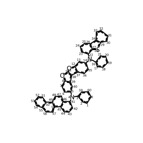 c1ccc(N(c2ccc3oc4oc5cc(N(c6ccccc6)c6cccc7c6sc6ccccc67)ccc5c4c3c2)c2cccc3c2ccc2c4ccccc4ccc32)cc1